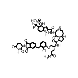 CN1CC[C@H]2CC[C@@H](C(=O)N[C@@H](CCC(N)=O)COc3cccc(Cc4ccc5c(c4)C(=O)N(C4CCC(=O)NC4=O)C5=O)c3Cl)N2C(=O)[C@@H](NC(=O)c2cc3cc(C(F)(F)P(=O)(O)O)ccc3[nH]2)C1